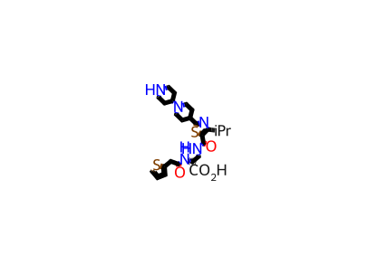 CC(C)c1nc(C2CCN(C3CCNCC3)CC2)sc1C(=O)NC[C@H](NC(=O)Cc1cccs1)C(=O)O